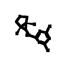 Clc1nc(Cl)nc(NC2[C@H]3COC[C@@H]23)n1